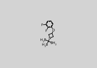 BC(B)(B)N1CC(Oc2cccc(F)c2F)C1